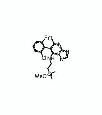 CO[Si](C)(C)CCNc1c(-c2c(F)cccc2Cl)c(Cl)nc2ncnn12